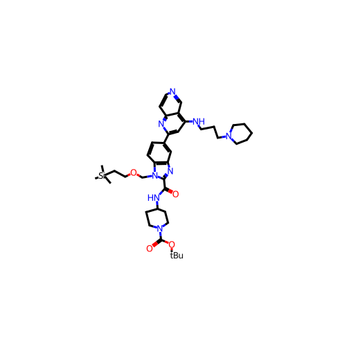 CC(C)(C)OC(=O)N1CCC(NC(=O)c2nc3cc(-c4cc(NCCCN5CCCCC5)c5cnccc5n4)ccc3n2COCC[Si](C)(C)C)CC1